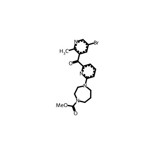 COC(=O)N1CCCN(c2cccc(C(=O)c3cc(Br)cnc3C)n2)CC1